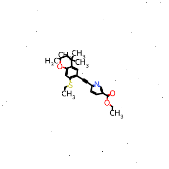 CCOC(=O)c1ccc(C#Cc2cc3c(cc2SCC)OC(C)(C)CC3(C)C)nc1